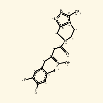 O=C(CC(Cc1cc(F)c(F)cc1F)=NO)N1CCn2c(nnc2C(F)(F)F)C1